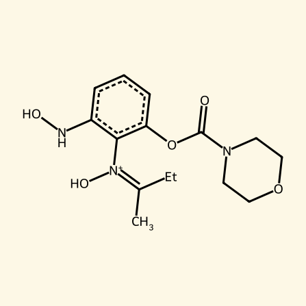 CC/C(C)=[N+](/O)c1c(NO)cccc1OC(=O)N1CCOCC1